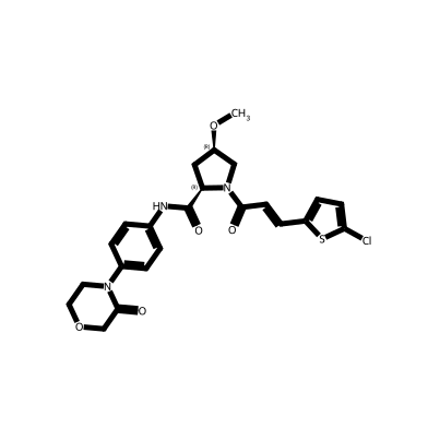 CO[C@@H]1C[C@H](C(=O)Nc2ccc(N3CCOCC3=O)cc2)N(C(=O)C=Cc2ccc(Cl)s2)C1